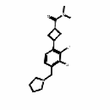 CN(C)C(=O)[C@H]1C[C@@H](c2ccc(CN3CCCC3)c(Cl)c2Cl)C1